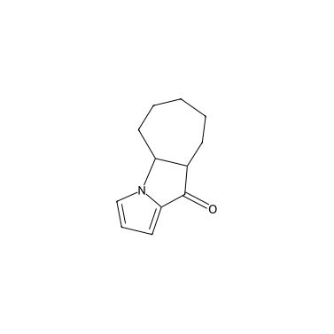 O=C1c2cccn2C2CCCCCC12